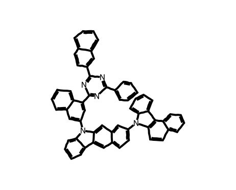 c1ccc(-c2nc(-c3ccc4ccccc4c3)nc(-c3cc(-n4c5ccccc5c5cc6ccc(-n7c8ccccc8c8c9ccccc9ccc87)cc6cc54)cc4ccccc34)n2)cc1